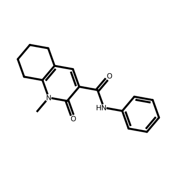 Cn1c2c(cc(C(=O)Nc3ccccc3)c1=O)CCCC2